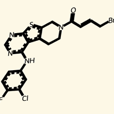 O=C(/C=C/CBr)N1CCc2c(sc3ncnc(Nc4ccc(F)c(Cl)c4)c23)C1